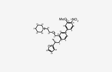 [CH2]C(Cc1ccc(-c2ccc([N+](=O)[O-])c(OC)c2)cc1COCCN1CCCCC1)c1ccco1